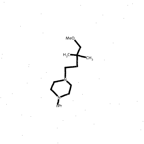 CCCN1CCN(CCC(C)(C)COC)CC1